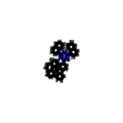 c1ccc2c(c1)-c1ccc(-c3nc(-c4cccc5ccccc45)nc(-c4cccc5ccccc45)n3)cc1C21c2cccc3ccc4cccc1c4c23